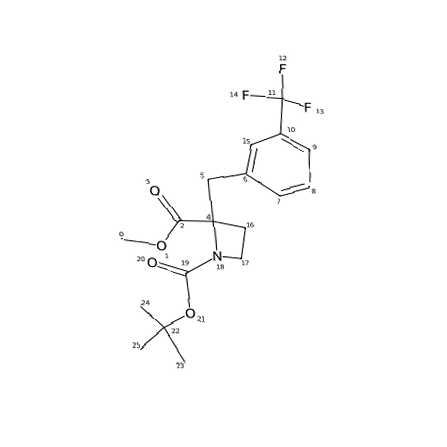 COC(=O)C1(Cc2cccc(C(F)(F)F)c2)CCN1C(=O)OC(C)(C)C